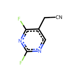 N#CCc1cnc(F)nc1F